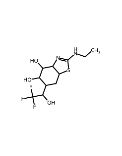 CCNC1=NC2C(CC(C(O)C(F)(F)F)C(O)C2O)S1